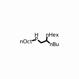 CCCCCCCCPCC(CCCC)CCCCCC